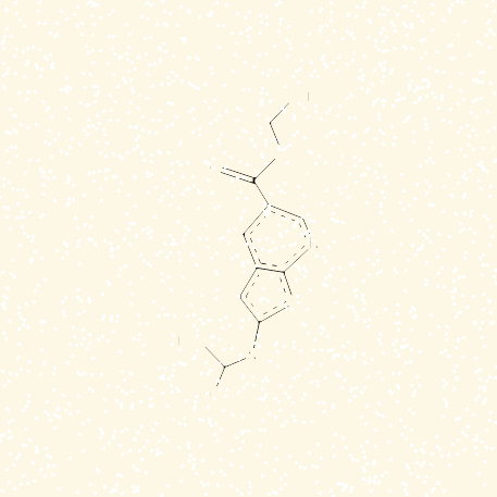 CCOC(=O)c1cnc2sc(NC(C)C)cc2c1